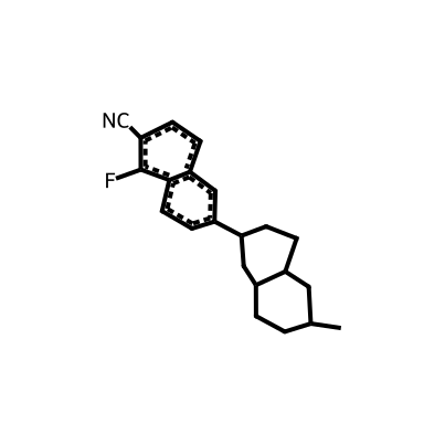 CC1CCC2CC(c3ccc4c(F)c(C#N)ccc4c3)CCC2C1